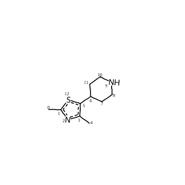 Cc1nc(C)c(C2CCNCC2)s1